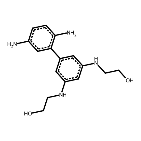 Nc1ccc(N)c(-c2cc(NCCO)cc(NCCO)c2)c1